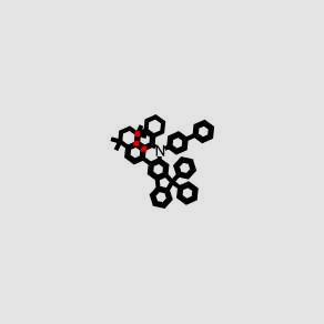 Cc1ccc2c(c1N(c1ccc(-c3ccccc3)cc1)c1cc3c(cc1-c1ccc4c(c1)C(C)(C)CCC4(C)C)-c1ccccc1C3(c1ccccc1)c1ccccc1)CCCC2